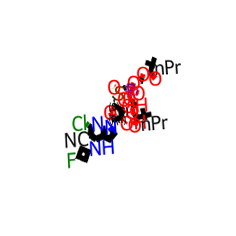 CCCC(C)(C)C(=O)OCOP(=O)(CS(=O)(=O)C[C@H]1O[C@@H](n2ccc3c(N[C@H]4C[C@@H](F)C4)c(C#N)c(Cl)nc32)[C@H](O)[C@@H]1O)OCOC(=O)C(C)(C)CCC